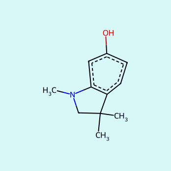 CN1CC(C)(C)c2ccc(O)cc21